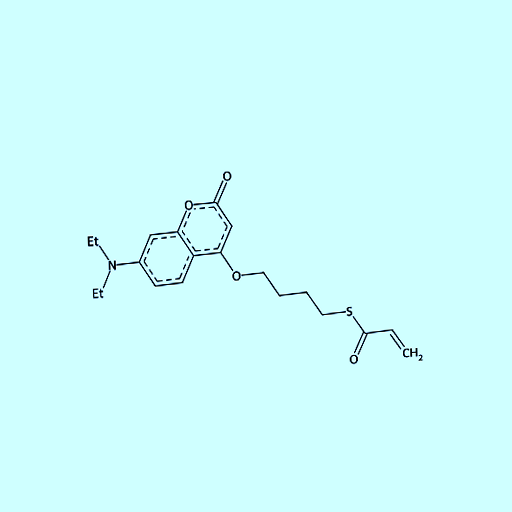 C=CC(=O)SCCCCOc1cc(=O)oc2cc(N(CC)CC)ccc12